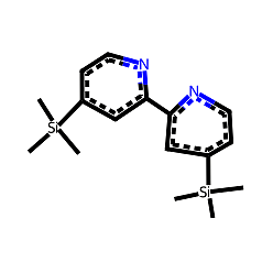 C[Si](C)(C)c1ccnc(-c2cc([Si](C)(C)C)ccn2)c1